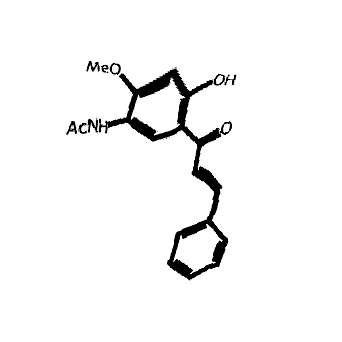 COc1cc(O)c(C(=O)/C=C/c2ccccc2)cc1NC(C)=O